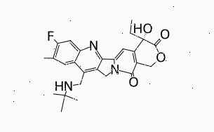 CC[C@@]1(O)C(=O)OCc2c1cc1n(c2=O)Cc2c-1nc1cc(F)c(C)cc1c2CNC(C)(C)C